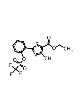 CCOC(=O)c1sc(-c2ccccc2OS(=O)(=O)C(F)(F)F)nc1C